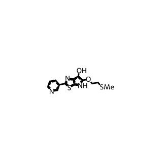 CSCCOc1[nH]c2sc(-c3cccnc3)nc2c1O